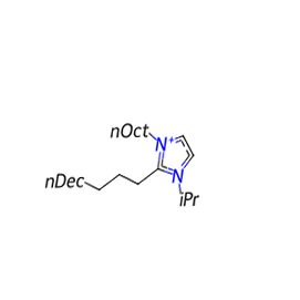 CCCCCCCCCCCCCc1n(C(C)C)cc[n+]1CCCCCCCC